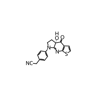 N#CCc1ccc(N2CC[C@@]3(O)C(=O)c4ccsc4N=C23)cc1